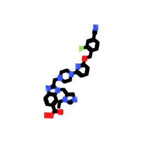 CCn1cncc1Cn1c(CN2CCN(c3cccc(OCc4ccc(C#N)cc4F)n3)CC2)nc2ccc(C(=O)O)cc21